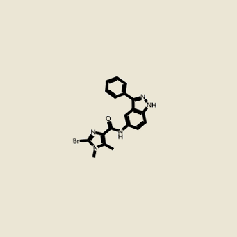 Cc1c(C(=O)Nc2ccc3[nH]nc(-c4ccccc4)c3c2)nc(Br)n1C